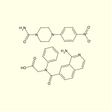 NC(=O)N1CCN(c2ccc([N+](=O)[O-])cc2)CC1.Nc1nccc2ccc(C(=O)N(CC(=O)O)c3ccccc3)cc12